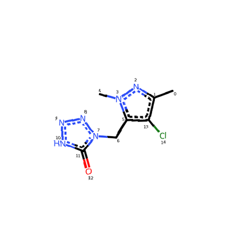 Cc1nn(C)c(Cn2nn[nH]c2=O)c1Cl